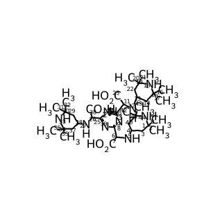 CC1(C)CC(NC(C(=O)O)c2nc(C(NC3CC(C)(C)NC(C)(C)C3)C(=O)O)nc(C(NC3CC(C)(C)NC(C)(C)C3)C(=O)O)n2)CC(C)(C)N1